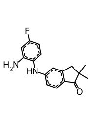 CC1(C)Cc2cc(Nc3ccc(F)cc3N)ccc2C1=O